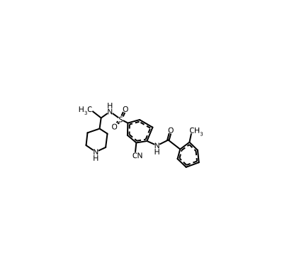 Cc1ccccc1C(=O)Nc1ccc(S(=O)(=O)NC(C)C2CCNCC2)cc1C#N